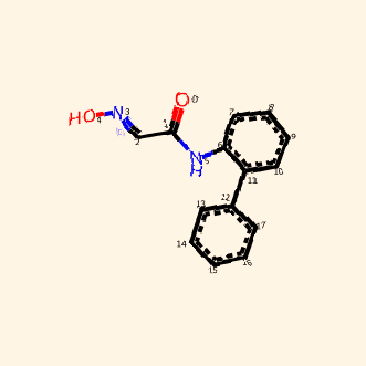 O=C(/C=N/O)Nc1ccccc1-c1ccccc1